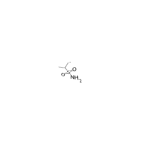 [CH2]C(C)S(N)(=O)=O